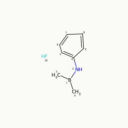 CB(C)Nc1ccccc1.F